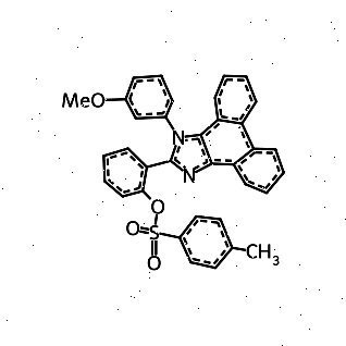 COc1cccc(-n2c(-c3ccccc3OS(=O)(=O)c3ccc(C)cc3)nc3c4ccccc4c4ccccc4c32)c1